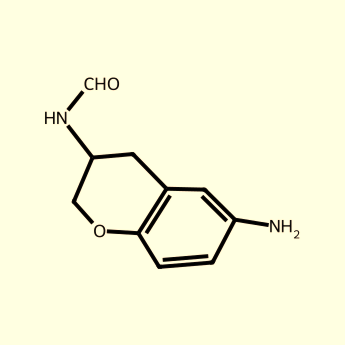 Nc1ccc2c(c1)CC(NC=O)CO2